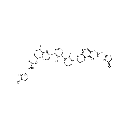 Cc1c(-c2ccn3c(=O)c(CNC[C@@H]4CCC(=O)N4)cnc3c2)cccc1-c1cccc(-c2ccc3c(n2)N(C)CCC3OC(=O)NC[C@@H]2CCC(=O)N2)c1Cl